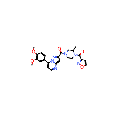 COc1ccc(-c2ccnc3cc(C(=O)N4CCN(C(=O)c5ccon5)C(C)C4)nn23)cc1OC